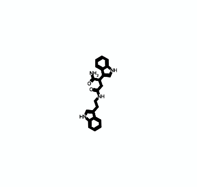 NC(=O)C([CH]C(=O)NCCc1c[nH]c2ccccc12)c1c[nH]c2ccccc12